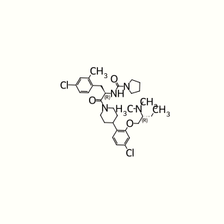 CC[C@H](COc1cc(Cl)ccc1C1CCN(C(=O)[C@@H](Cc2ccc(Cl)cc2C)NC(=O)N2CCCC2)CC1)N(C)C